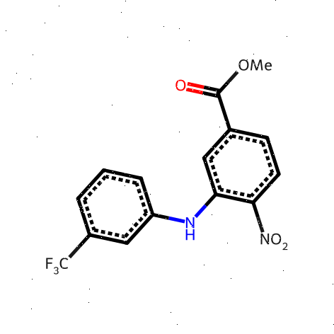 COC(=O)c1ccc([N+](=O)[O-])c(Nc2cccc(C(F)(F)F)c2)c1